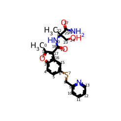 Cc1oc2ccc(SCc3ccccn3)cc2c1C(=O)N[C@@](C)(CO)C(N)=O